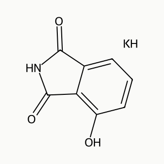 O=C1NC(=O)c2c(O)cccc21.[KH]